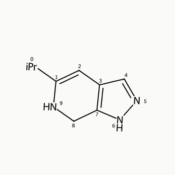 CC(C)C1=Cc2cn[nH]c2CN1